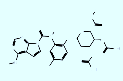 CNc1ncnc2c1ccn2C(=O)N(C)c1cc(Cl)ccc1O[C@H]1C[C@@H](OC(C)=O)[C@H](OC(C)=O)[C@@H](C(=O)OC)O1